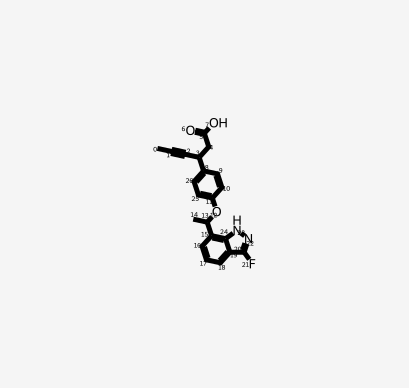 CC#CC(CC(=O)O)c1ccc(OC(C)c2cccc3c(F)n[nH]c23)cc1